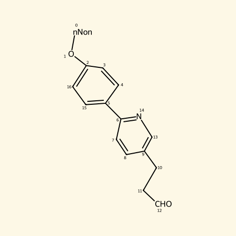 CCCCCCCCCOc1ccc(-c2ccc(CCC=O)cn2)cc1